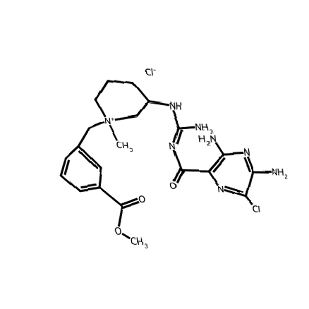 COC(=O)c1cccc(C[N+]2(C)CCCC(NC(N)=NC(=O)c3nc(Cl)c(N)nc3N)C2)c1.[Cl-]